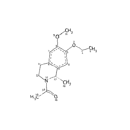 CCOc1cc2c(cc1OC)CCN(C(C)=O)C2C